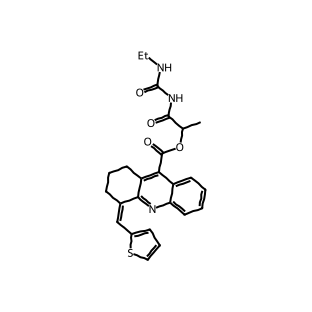 CCNC(=O)NC(=O)C(C)OC(=O)c1c2c(nc3ccccc13)/C(=C\c1cccs1)CCC2